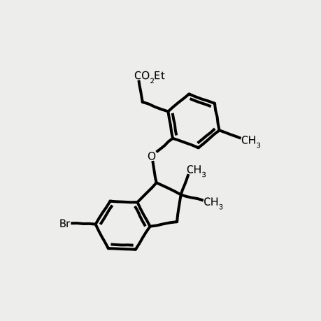 CCOC(=O)Cc1ccc(C)cc1OC1c2cc(Br)ccc2CC1(C)C